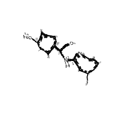 O=C(Nc1cc(F)ccn1)c1ccc(O)cc1